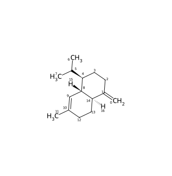 C=C1CC[C@H](C(C)C)[C@H]2C=C(C)CC[C@H]12